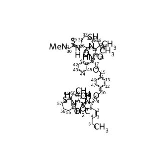 C=C(/C=C\C=C/C)[C@@H](COCc1ccc(COC[C@@H](NC(=O)C2N3C(=O)[C@@H](NC(=S)CNC)CCS[C@H]3CC2(C)C)c2ccccc2)cc1)NC(=O)[C@H]1N2C(=O)CCCS[C@H]2CC1(C)C